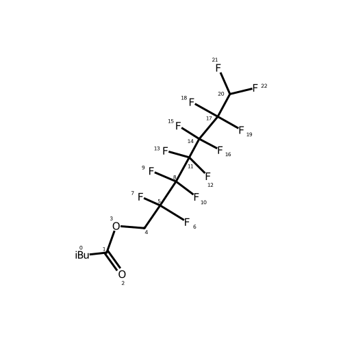 CCC(C)C(=O)OCC(F)(F)C(F)(F)C(F)(F)C(F)(F)C(F)(F)C(F)F